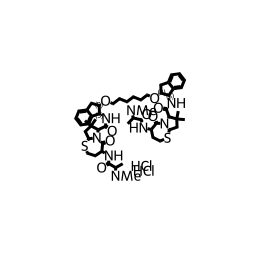 CNC(C)C(=O)NC1CCSC2CC(C)(C)C(C(=O)N[C@H]3c4ccccc4C[C@H]3OCCCCCCO[C@@H]3Cc4ccccc4[C@@H]3NC(=O)C3N4C(=O)C(NC(=O)C(C)NC)CCSC4CC3(C)C)N2C1=O.Cl.Cl